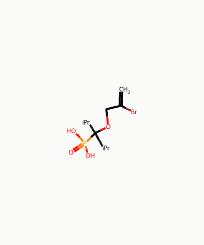 C=C(Br)COC(C(C)C)(C(C)C)P(=O)(O)O